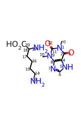 Cn1c(=O)c2[nH]cnc2n(C)c1=O.NCCCCC(N)C(=O)O